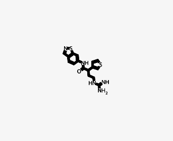 N=C(N)NCCC(C(=O)Nc1ccc2cnsc2c1)c1ccsc1